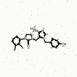 Cc1cccc(N2C[C@H](C(C)(C)C)N(Cc3cncn3Cc3ccc(C#N)cc3)C2=O)c1C.Cl